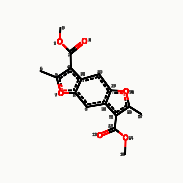 COC(=O)c1c(C)oc2cc3c(C(=O)OC)c(C)oc3cc12